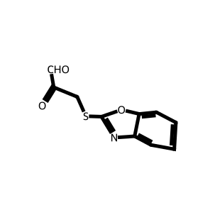 O=CC(=O)CSc1nc2ccccc2o1